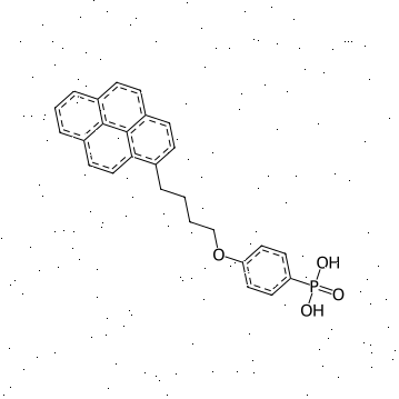 O=P(O)(O)c1ccc(OCCCCc2ccc3ccc4cccc5ccc2c3c45)cc1